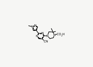 Cn1cc(-c2ncc(C#N)c(N3CCN(C(=O)O)C(C)(C)C3)n2)cn1